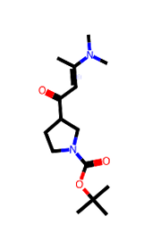 C/C(=C\C(=O)C1CCN(C(=O)OC(C)(C)C)C1)N(C)C